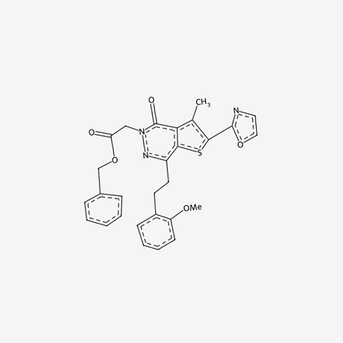 COc1ccccc1CCc1nn(CC(=O)OCc2ccccc2)c(=O)c2c(C)c(-c3ncco3)sc12